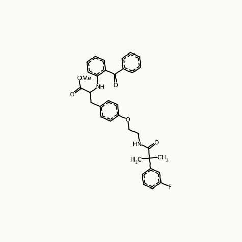 COC(=O)C(Cc1ccc(OCCNC(=O)C(C)(C)c2cccc(F)c2)cc1)Nc1ccccc1C(=O)c1ccccc1